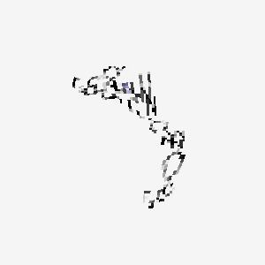 Cc1ccc(C(F)(F)F)c(N2C(=O)CS/C2=N\C(=O)NN(C)C(C)c2ccc(-c3ncn(-c4ccc(OC(F)(F)F)cc4)n3)cc2)c1